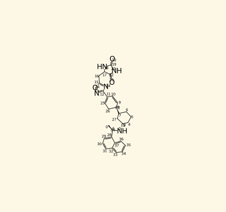 C[C@@H](N[C@H]1CCCC([C@@H]2C=CC(c3noc(CC4NC(=O)NC4=O)n3)=CC2)C1)c1cccc2ccccc12